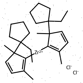 CCC1(C2(C)C=CC(C)=[C]2[Zr+2][C]2=C(C)C=CC2(C)C2(CC)CCCC2)CCCC1.[Cl-].[Cl-]